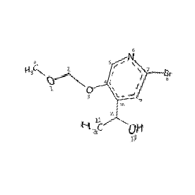 COCOc1cnc(Br)cc1C(C)O